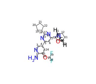 Nc1ncc(-c2cc(N3C[C@@H]4CC[C@H]3CO4)nc(C3CCCC3)n2)cc1OC(F)F